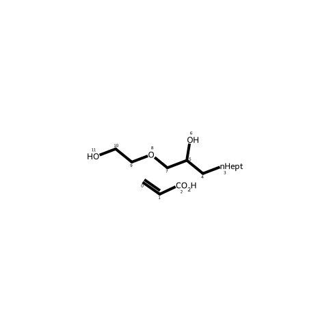 C=CC(=O)O.CCCCCCCCC(O)COCCO